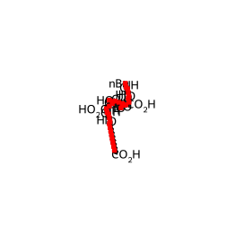 CCCCNC(=O)CCCNC(=O)CC[C@H](NC(=O)[C@H](CO)NC(=O)CNC(=O)[C@H](CO)NC(=O)CC[C@H](NC(=O)CCCNC(=O)CCCCCCCCCCCCCCCCC(=O)O)C(=O)O)C(=O)O